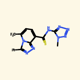 CC(C)c1nnc2c(C(=S)Nc3nnnn3C)ccc(C(F)(F)F)n12